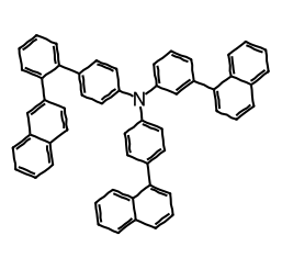 c1cc(-c2cccc3ccccc23)cc(N(c2ccc(-c3ccccc3-c3ccc4ccccc4c3)cc2)c2ccc(-c3cccc4ccccc34)cc2)c1